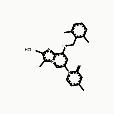 Cc1ccn(-c2cc(NCc3c(C)cccc3C)c3nc(C)c(C)n3c2)c(=O)c1.Cl